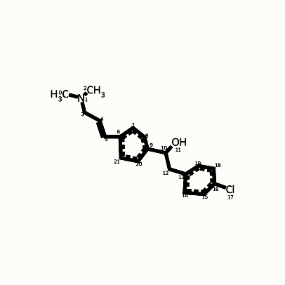 CN(C)C/C=C/c1ccc(C(O)Cc2ccc(Cl)cc2)cc1